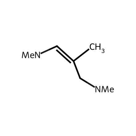 CN/C=C(/C)CNC